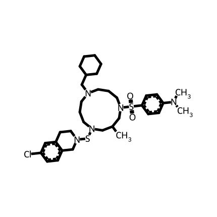 CC1CN(SN2CCc3cc(Cl)ccc3C2)CCCN(CC2CCCCC2)CCCN(S(=O)(=O)c2ccc(N(C)C)cc2)C1